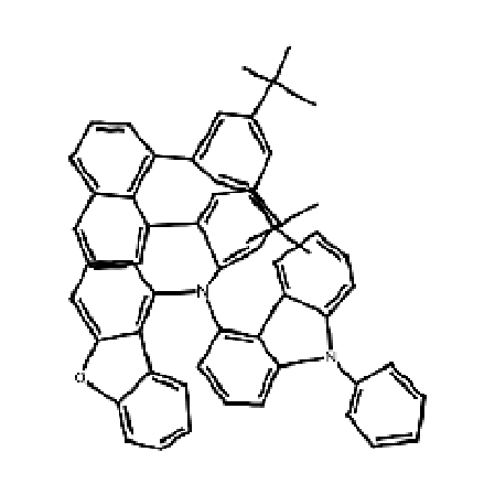 CC(C)(C)c1cc(-c2cccc3cccc(-c4ccccc4N(c4cccc5oc6ccccc6c45)c4cccc5c4c4ccccc4n5-c4ccccc4)c23)cc(C(C)(C)C)c1